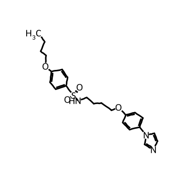 CCCCOc1ccc(S(=O)(=O)NCCCCOc2ccc(-n3ccnc3)cc2)cc1